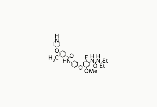 CCC(CC)NC(=O)Nc1cc(OC)c(Oc2ccc(NC(=O)c3ccc(OC4CCNCC4)c(C)c3)cc2)cc1F